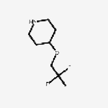 CC(F)(F)COC1CCNCC1